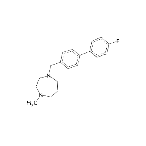 CN1CCCN(Cc2ccc(-c3ccc(F)cc3)cc2)CC1